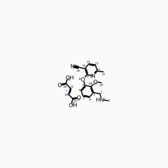 CNCc1cccc(Oc2nc(C)ccc2C#N)c1OC.O=C(O)/C=C/C(=O)O